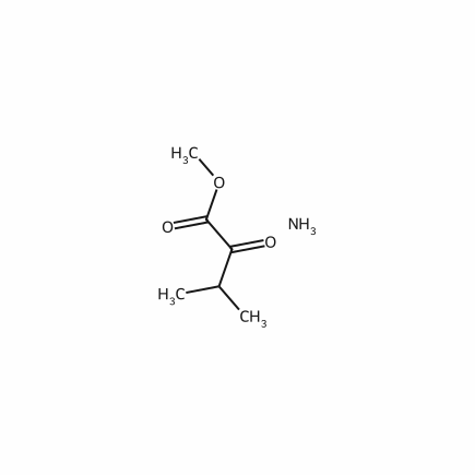 COC(=O)C(=O)C(C)C.N